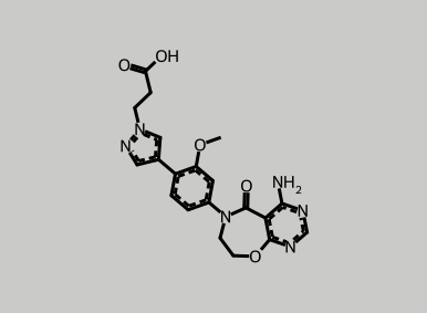 COc1cc(N2CCOc3ncnc(N)c3C2=O)ccc1-c1cnn(CCC(=O)O)c1